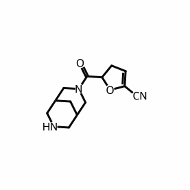 N#CC1=CCC(C(=O)N2CC3CNCC(C3)C2)O1